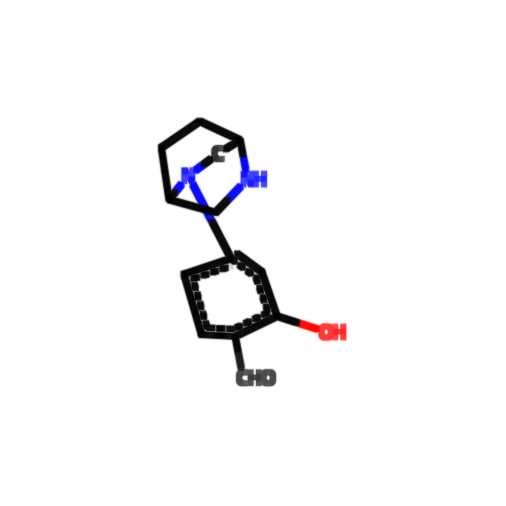 O=Cc1ccc(N2CC3CCC2CN3)cc1O